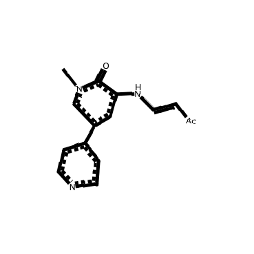 CC(=O)/C=C/Nc1cc(-c2ccncc2)cn(C)c1=O